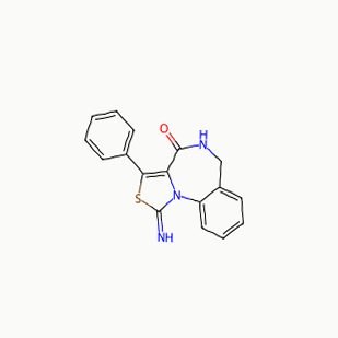 N=c1sc(-c2ccccc2)c2n1-c1ccccc1CNC2=O